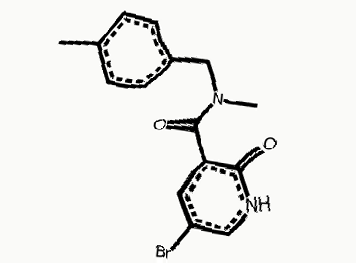 Cc1ccc(CN(C)C(=O)c2cc(Br)c[nH]c2=O)cc1